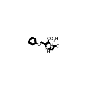 O=C(O)C1=C(COc2ccccc2)S[C@H]2CC(=O)N12